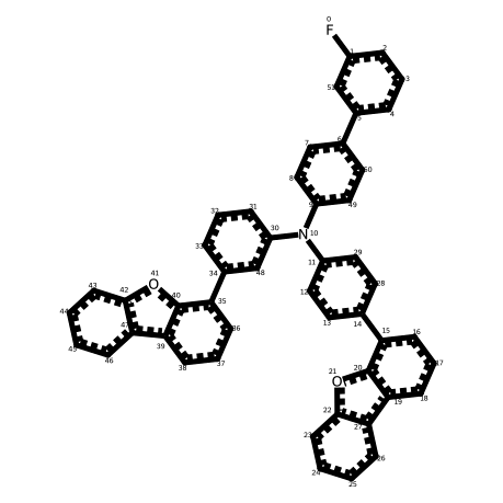 Fc1cccc(-c2ccc(N(c3ccc(-c4cccc5c4oc4ccccc45)cc3)c3cccc(-c4cccc5c4oc4ccccc45)c3)cc2)c1